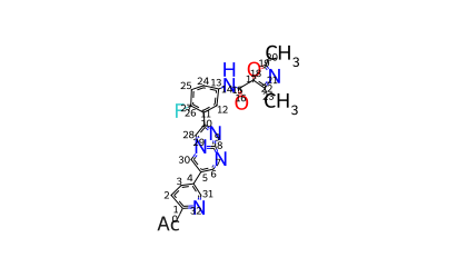 CC(=O)c1ccc(-c2cnc3nc(-c4cc(NC(=O)c5oc(C)nc5C)ccc4F)cn3c2)cn1